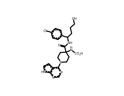 O=C(O)NC1(C(=O)NC(CCCO)c2ccc(Cl)cc2)CCN(c2ncnc3[nH]ccc23)CC1